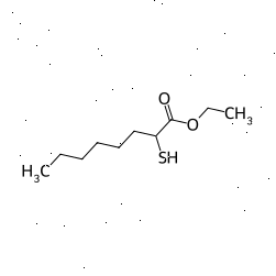 CCCCCCC(S)C(=O)OCC